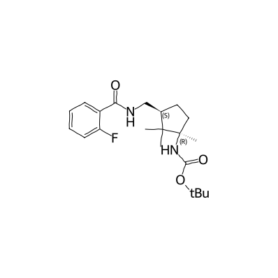 CC(C)(C)OC(=O)N[C@]1(C)CC[C@H](CNC(=O)c2ccccc2F)C1(C)C